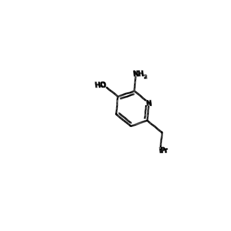 CC(C)Cc1ccc(O)c(N)n1